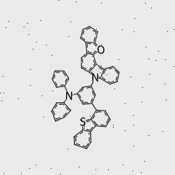 c1ccc(N(c2ccccc2)c2cc(-c3cccc4c3sc3ccccc34)cc(-n3c4ccccc4c4c5oc6ccccc6c5ccc43)c2)cc1